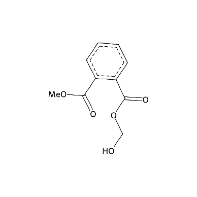 COC(=O)c1ccccc1C(=O)OCO